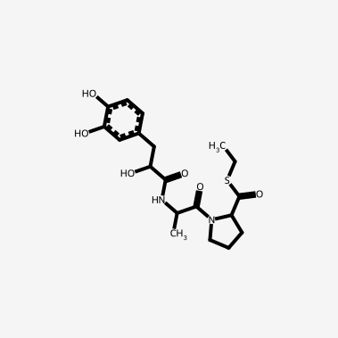 CCSC(=O)C1CCCN1C(=O)C(C)NC(=O)C(O)Cc1ccc(O)c(O)c1